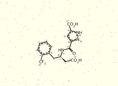 O=C(O)C[C@@H](Cc1ccccc1C(F)(F)F)NC(=O)c1cc(C(=O)O)[nH]n1